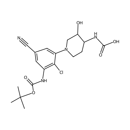 CC(C)(C)OC(=O)Nc1cc(C#N)cc(N2CCC(NC(=O)O)C(O)C2)c1Cl